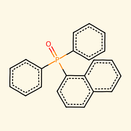 O=P(c1ccccc1)(c1ccccc1)c1cccc2ccccc12